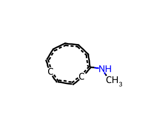 CNc1ccccccccc1